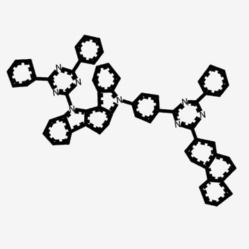 c1ccc(-c2nc(-c3ccc(-n4c5ccccc5c5c4ccc4c6ccccc6n(-c6nc(-c7ccccc7)nc(-c7ccccc7)n6)c45)cc3)nc(-c3ccc4c(ccc5ccccc54)c3)n2)cc1